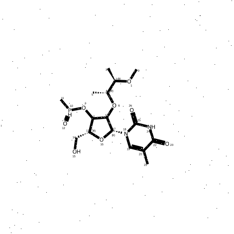 CO[C@H](C)[C@@H](C)OC1C(O[PH](C)=O)[C@@H](CO)O[C@H]1n1cc(C)c(=O)[nH]c1=O